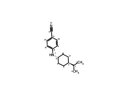 CC(C)[C@H]1CC[C@H](Nc2ccc(C#N)cc2)CC1